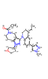 CC[C@@H]1CCN(c2nn([C@H]3CCOC3)c3c2CN(C(C)=O)CC3)c2ccc(-c3cnn(C)c3)cc21